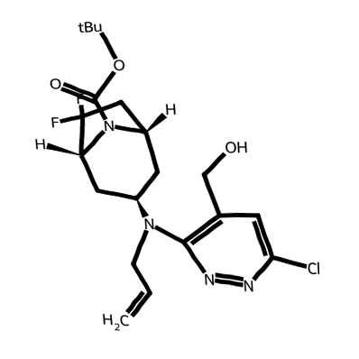 C=CCN(c1nnc(Cl)cc1CO)[C@@H]1C[C@H]2CC(F)(F)[C@@H](C1)N2C(=O)OC(C)(C)C